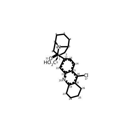 O=C(O)N1CC2CCCC(C1)N2C(=O)c1ccc2c(Cl)c3c(nc2c1)CCCC3